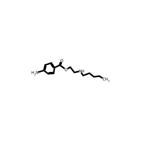 CCCCCNCCOC(=O)c1ccc(N)cc1